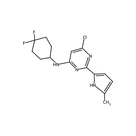 Cc1ccc(-c2nc(Cl)cc(NC3CCC(F)(F)CC3)n2)[nH]1